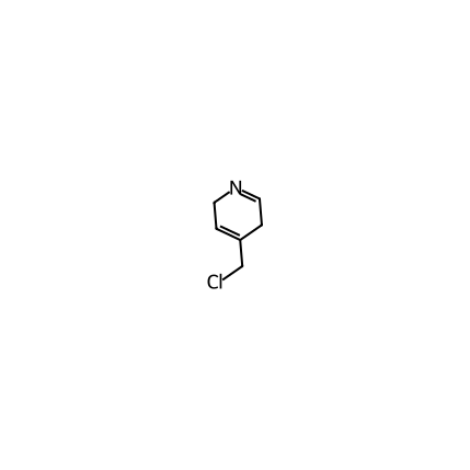 ClCC1=CCN=CC1